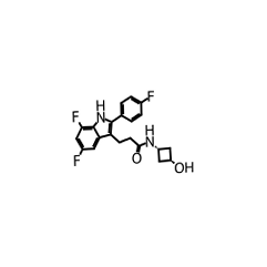 O=C(CCc1c(-c2ccc(F)cc2)[nH]c2c(F)cc(F)cc12)N[C@H]1C[C@H](O)C1